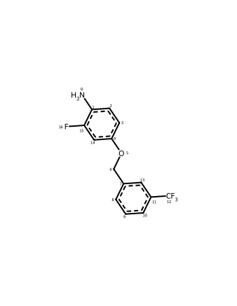 Nc1ccc(OCc2cccc(C(F)(F)F)c2)cc1F